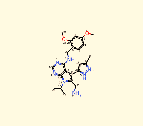 COc1ccc(CNc2ncnc3c2c(-c2cc(C)n[nH]2)c(CN)n3C(C)C)c(OC)c1